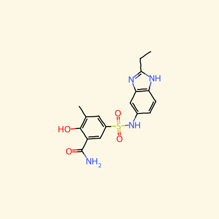 CCc1nc2cc(NS(=O)(=O)c3cc(C)c(O)c(C(N)=O)c3)ccc2[nH]1